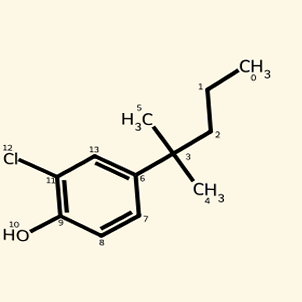 CCCC(C)(C)c1ccc(O)c(Cl)c1